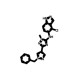 Cn1nc(-c2cnn(Cc3ccccc3)c2)nc1Nc1ccc2[nH]ncc2c1Cl